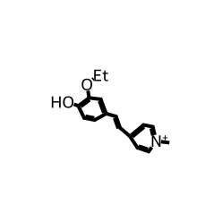 CCOc1cc(/C=C/c2cc[n+](C)cc2)ccc1O